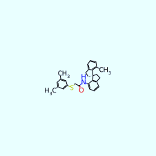 Cc1cc(C)cc(SCC(=O)Nc2cccc3c2[C@]2(CCc4cccc(C)c42)CC3)c1